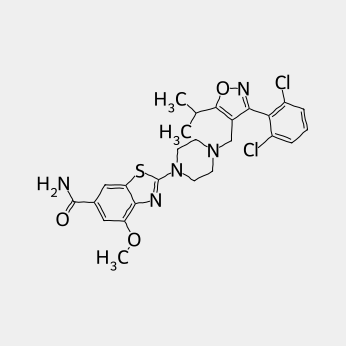 COc1cc(C(N)=O)cc2sc(N3CCN(Cc4c(-c5c(Cl)cccc5Cl)noc4C(C)C)CC3)nc12